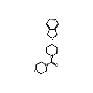 O=C(N1CCOCC1)N1CCC(N2Cc3ccccc3C2)CC1